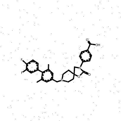 Cc1cc(CN2CCC3(CC2)CN(c2ccc(C(=O)O)cc2)C(=O)O3)cc(C)c1-c1ccc(F)c(F)c1